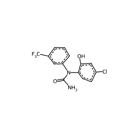 NC(=O)N(c1cccc(C(F)(F)F)c1)c1ccc(Cl)cc1O